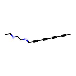 CC#CC#CC#CC#CC=NCCN=CC